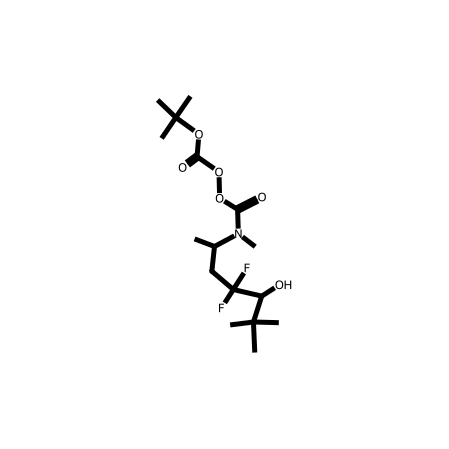 CC(CC(F)(F)C(O)C(C)(C)C)N(C)C(=O)OOC(=O)OC(C)(C)C